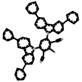 N#Cc1c(-n2c3ccc(-c4ccccc4)cc3c3cc(-c4ccccc4)ccc32)cc(-n2c3ccc(-c4ccccc4)cc3c3cc(-c4ccccc4)ccc32)c(C#N)c1F